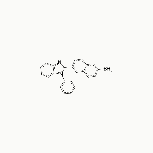 Bc1ccc2cc(-c3nc4ccccc4n3-c3ccccc3)ccc2c1